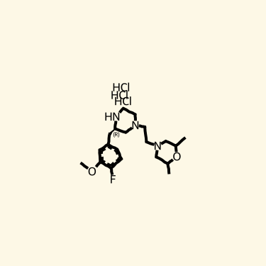 COc1cc(C[C@@H]2CN(CCN3CC(C)OC(C)C3)CCN2)ccc1F.Cl.Cl.Cl